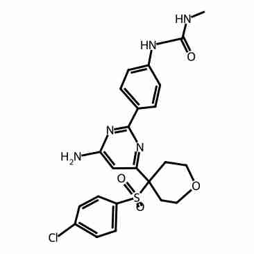 CNC(=O)Nc1ccc(-c2nc(N)cc(C3(S(=O)(=O)c4ccc(Cl)cc4)CCOCC3)n2)cc1